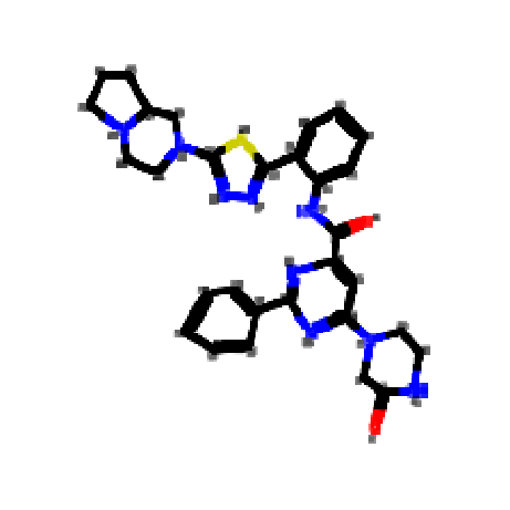 O=C1CN(c2cc(C(=O)Nc3ccccc3-c3nnc(N4CCN5CCCC5C4)s3)nc(-c3ccccc3)n2)CCN1